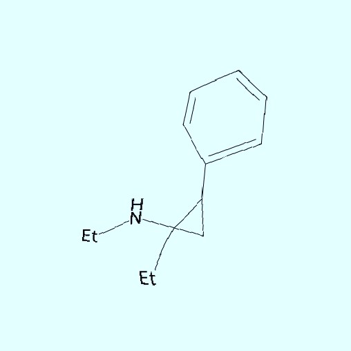 CCNC1(CC)CC1c1ccccc1